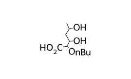 CCCCOC(C(=O)O)C(O)CC(C)O